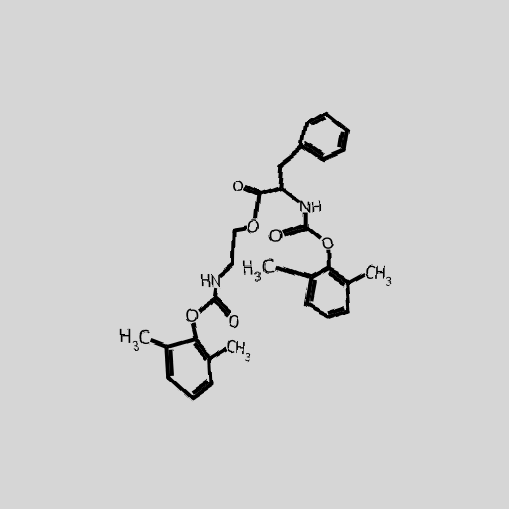 Cc1cccc(C)c1OC(=O)NCCOC(=O)C(Cc1ccccc1)NC(=O)Oc1c(C)cccc1C